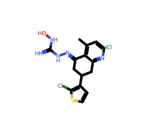 Cc1ccnc2c1C(=NNC(=N)NO)CC(c1ccsc1Cl)C2.Cl